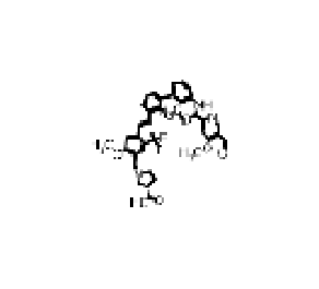 COc1cc(C(=O)Nc2cccc(-c3cccc(/C=C/c4cc(OC)c(CN5CC[C@@H](C(=O)O)C5)cc4C(F)(F)F)c3C)c2C)ncc1C=O